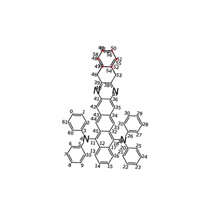 c1ccc(N(c2ccccc2)c2c3ccccc3c(N(c3ccccc3)c3ccccc3)c3cc4cc5nc6c(nc5cc4cc23)C2c3ccccc3C6c3ccccc32)cc1